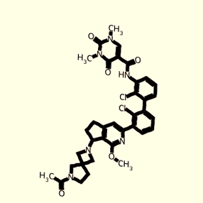 COc1nc(-c2cccc(-c3cccc(NC(=O)c4cn(C)c(=O)n(C)c4=O)c3Cl)c2Cl)cc2c1C(N1CC3(CCN(C(C)=O)C3)C1)CC2